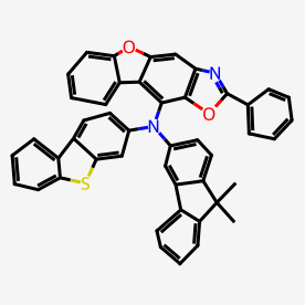 CC1(C)c2ccccc2-c2cc(N(c3ccc4c(c3)sc3ccccc34)c3c4oc(-c5ccccc5)nc4cc4oc5ccccc5c34)ccc21